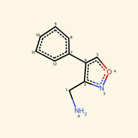 NCc1nocc1-c1ccccc1